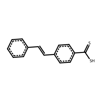 S=C(S)c1ccc(C=Cc2ccccc2)cc1